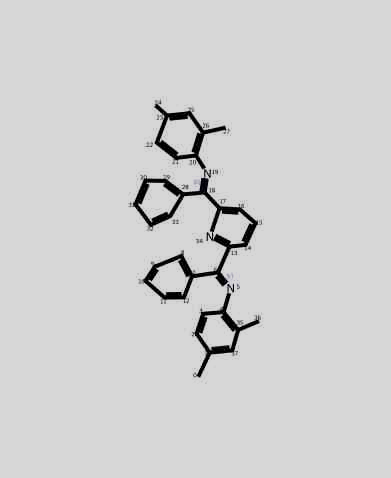 Cc1ccc(/N=C(\c2ccccc2)c2cccc(/C(=N/c3ccc(C)cc3C)c3ccccc3)n2)c(C)c1